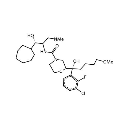 CNCC(NC(=O)N1CCC[C@@H]([C@@](O)(CCCCOC)c2cccc(Cl)c2F)C1)[C@@H](O)C1CCCCCC1